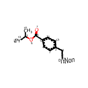 CCCCCCCCCCc1ccc(C(=O)OC(C)C(C)C)cc1